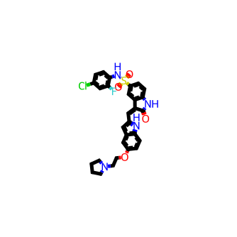 O=C1Nc2ccc(S(=O)(=O)Nc3ccc(Cl)cc3F)cc2C1=Cc1cc2cc(OCCN3CCCC3)ccc2[nH]1